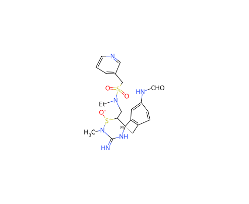 CCN(CC1[S+]([O-])N(C)C(=N)N[C@@]12Cc1ccc(NC=O)cc12)S(=O)(=O)Cc1cccnc1